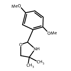 COc1ccc(OC)c(C2NC(C)(C)CO2)c1